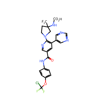 O=C(O)NC1(C(F)(F)F)CCN(c2ncc(C(=O)Nc3ccc(OC(F)(F)Cl)cc3)cc2-c2cncnc2)C1